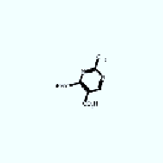 CCCC(C)c1nc(C)ncc1C(=O)O